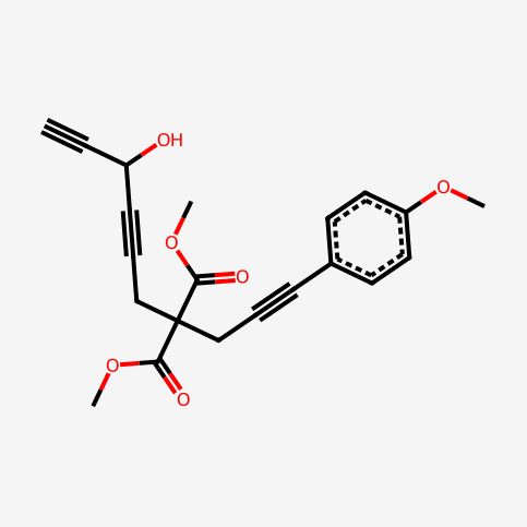 C#CC(O)C#CCC(CC#Cc1ccc(OC)cc1)(C(=O)OC)C(=O)OC